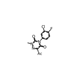 CC(=O)c1nn(C)c(=O)n(-c2ccc(F)c(Cl)c2)c1=O